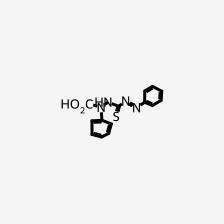 O=C(O)N(NC(=S)N=Nc1ccccc1)c1ccccc1